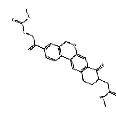 CPC(=O)CC1CCc2cc3c(cc2C1=O)OCc1cc(C(=O)COC(=O)PC)ccc1-3